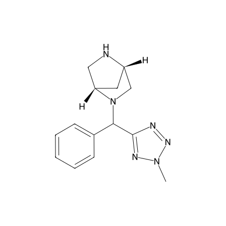 Cn1nnc(C(c2ccccc2)N2C[C@@H]3C[C@H]2CN3)n1